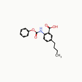 CCCCc1ccc(NC(=O)Oc2ccccc2)c(C(=O)O)c1